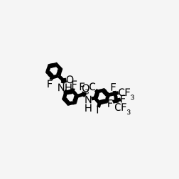 O=C(Nc1cccc(C(=O)Nc2c(I)cc(C(F)(C(F)(F)F)C(F)(F)C(F)(F)F)cc2C(F)(F)F)c1F)c1ccccc1F